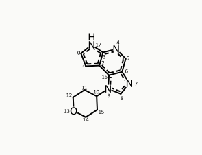 c1cc2c(ncc3ncn(C4CCOCC4)c32)[nH]1